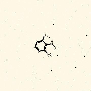 O=[N+]([O-])c1cccc(C(F)(F)F)c1NCl